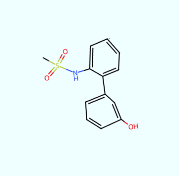 CS(=O)(=O)Nc1c[c]ccc1-c1cccc(O)c1